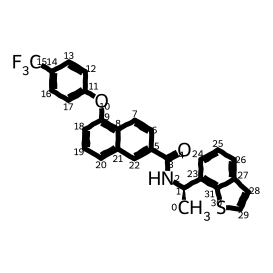 C[C@@H](NC(=O)c1ccc2c(Oc3ccc(C(F)(F)F)cc3)cccc2c1)c1cccc2ccsc12